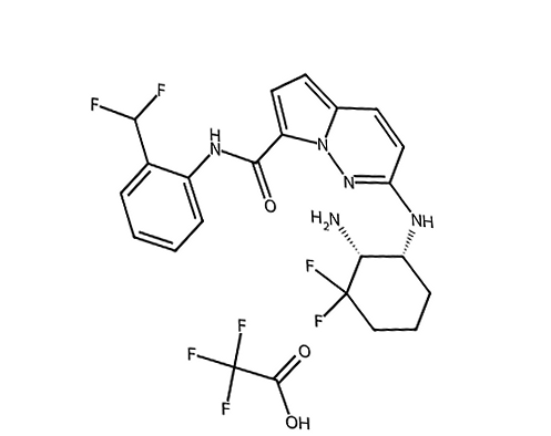 N[C@@H]1[C@H](Nc2ccc3ccc(C(=O)Nc4ccccc4C(F)F)n3n2)CCCC1(F)F.O=C(O)C(F)(F)F